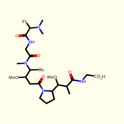 CCC(C)C(C(CC(=O)N1CCCC1C(OC)C(C)C(=O)NCC(=O)O)OC)N(C)C(=O)CNC(=O)C(CC)N(C)C